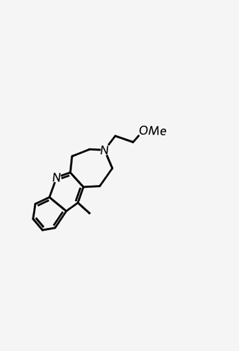 COCCN1CCc2nc3ccccc3c(C)c2CC1